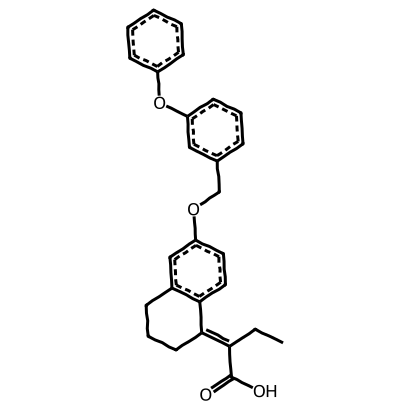 CC/C(C(=O)O)=C1/CCCc2cc(OCc3cccc(Oc4ccccc4)c3)ccc21